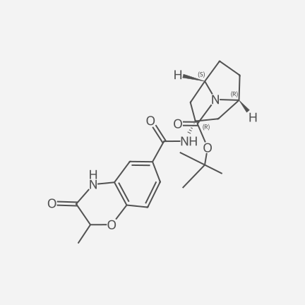 CC1Oc2ccc(C(=O)N[C@H]3C[C@H]4CC[C@@H](C3)N4C(=O)OC(C)(C)C)cc2NC1=O